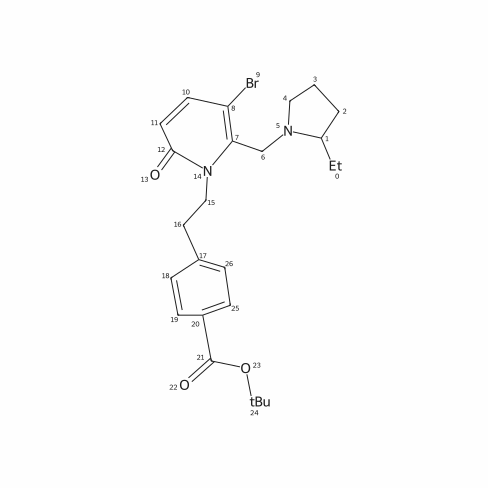 CCC1CCCN1Cc1c(Br)ccc(=O)n1CCc1ccc(C(=O)OC(C)(C)C)cc1